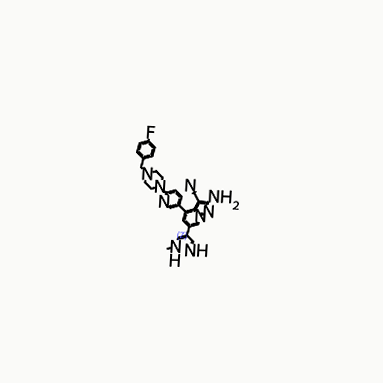 CN/C=C(\C=N)c1cc(-c2ccc(N3CCN(Cc4ccc(F)cc4)CC3)nc2)c2c(C#N)c(N)nn2c1